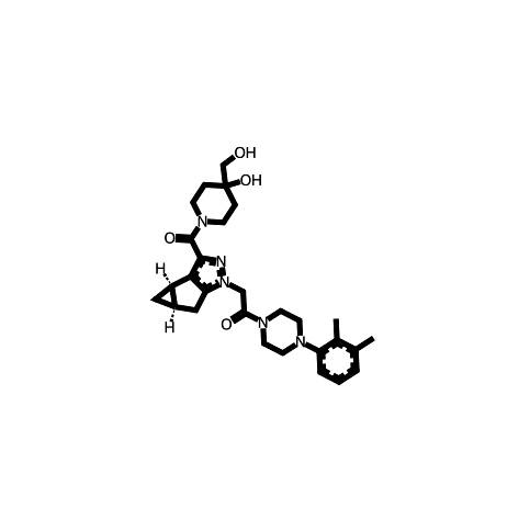 Cc1cccc(N2CCN(C(=O)Cn3nc(C(=O)N4CCC(O)(CO)CC4)c4c3C[C@H]3C[C@@H]43)CC2)c1C